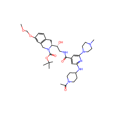 COCOc1ccc2c(c1)CN(C(=O)OC(C)(C)C)[C@H]([C@H](O)CNC(=O)c1cc(NC3CCN(C(C)=O)CC3)nc(N3CCN(C)CC3)c1)C2